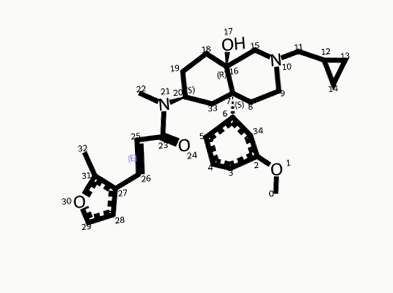 COc1cccc([C@@]23CCN(CC4CC4)C[C@@]2(O)CC[C@H](N(C)C(=O)/C=C/c2ccoc2C)C3)c1